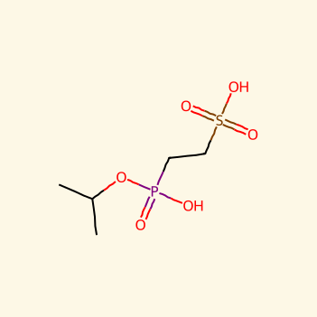 CC(C)OP(=O)(O)CCS(=O)(=O)O